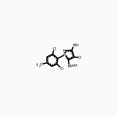 CC(=O)Nc1c(Cl)c(C(C)(C)C)nn1-c1c(Cl)cc(C(F)(F)F)cc1Cl